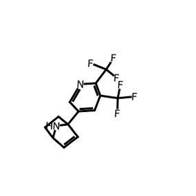 FC(F)(F)c1cc(C23C=CC(CC2)N3)cnc1C(F)(F)F